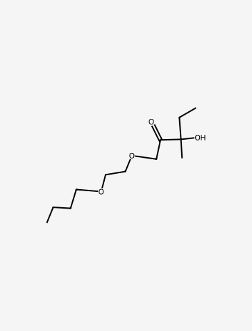 CCCCOCCOCC(=O)C(C)(O)CC